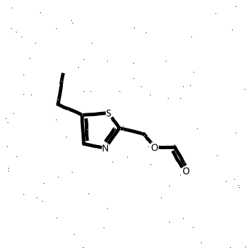 CCc1cnc(CO[C]=O)s1